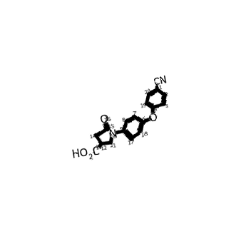 N#Cc1ccc(Oc2ccc(N3CC(C(=O)O)CC3=O)cc2)cc1